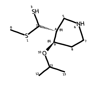 CSC(S)[C@@H]1CNCC[C@H]1OC(C)C